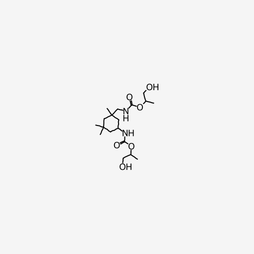 CC(CO)OC(=O)NCC1(C)CC(NC(=O)OC(C)CO)CC(C)(C)C1